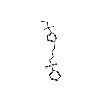 CCC(C)(C)c1ccc(CCCOS(=O)(=O)c2ccccc2)cc1